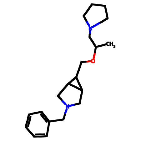 CC(CN1CCCC1)OCC1C2CN(Cc3ccccc3)CC12